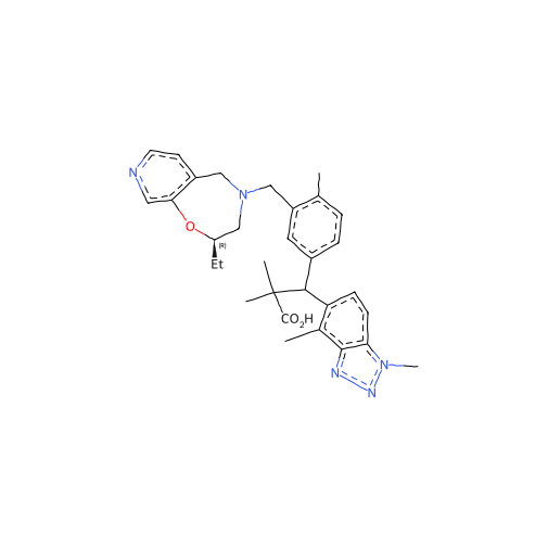 CC[C@@H]1CN(Cc2cc(C(c3ccc4c(nnn4C)c3C)C(C)(C)C(=O)O)ccc2C)Cc2ccncc2O1